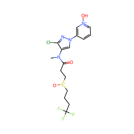 CN(C(=O)CC[S+]([O-])CCCC(F)(F)F)c1cn(-c2ccc[n+](O)c2)nc1Cl